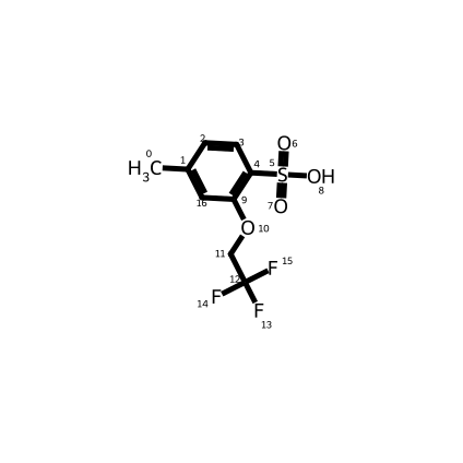 Cc1ccc(S(=O)(=O)O)c(OCC(F)(F)F)c1